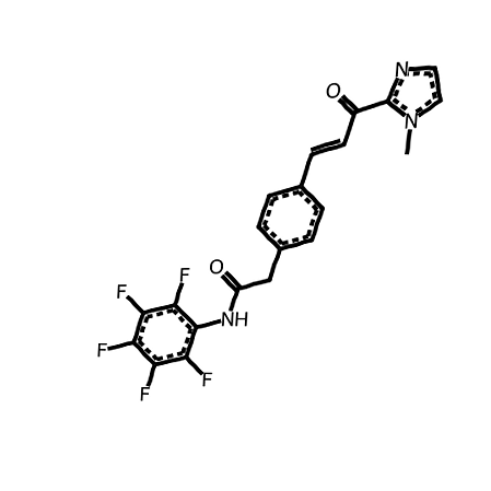 Cn1ccnc1C(=O)/C=C/c1ccc(CC(=O)Nc2c(F)c(F)c(F)c(F)c2F)cc1